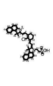 C[N+]1=C(/C=C/C2=C(Cl)C(=C/C=C3/N(CCS(=O)(=O)O)c4ccc5ccccc5c4C3(C)C)/CCC2)C(C)(C)c2c1ccc1ccccc21